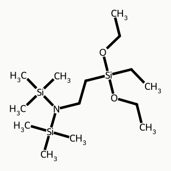 CCO[Si](CC)(CCN([Si](C)(C)C)[Si](C)(C)C)OCC